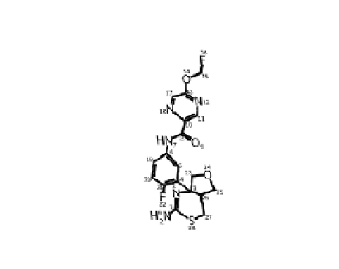 NC1=NC2(c3cc(NC(=O)c4cnc(OCF)cn4)ccc3F)COCC2CS1